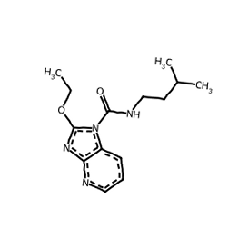 CCOc1nc2ncccc2n1C(=O)NCCC(C)C